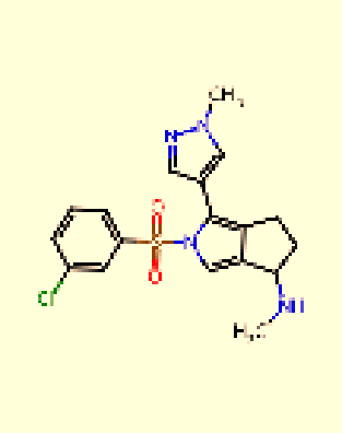 CNC1CCc2c1cn(S(=O)(=O)c1cccc(Cl)c1)c2-c1cnn(C)c1